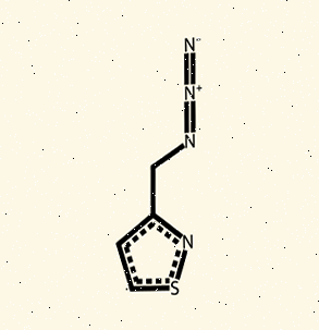 [N-]=[N+]=NCc1c[c]sn1